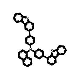 c1ccc2c(N(c3ccc(-c4ccc5sc6ccccc6c5c4)cc3)c3ccc(-c4cccc5c4sc4ccccc45)cc3)cccc2c1